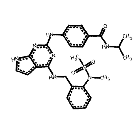 CC(C)NC(=O)c1ccc(Nc2nc(NCc3ccccc3N(C)S(C)(=O)=O)c3cc[nH]c3n2)cc1